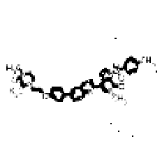 Cc1ccc(S(=O)(=O)n2ccc3c(-c4ccc5cc(-c6ccc(OCCN7CCN(C)C(=O)[C@H]7C)cc6)ccc5n4)cn(C)c(=O)c32)cc1